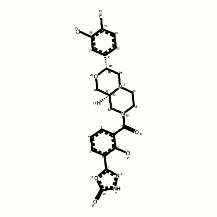 O=C(c1cccc(-c2n[nH]c(=O)o2)c1Cl)N1CCN2C[C@@H](c3ccc(F)c(Cl)c3)OC[C@@H]2C1